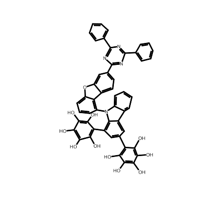 Oc1c(O)c(O)c(-c2cc(-c3c(O)c(O)c(O)c(O)c3O)c3c(c2)c2ccccc2n3-c2cccc3oc4cc(-c5nc(-c6ccccc6)nc(-c6ccccc6)n5)ccc4c23)c(O)c1O